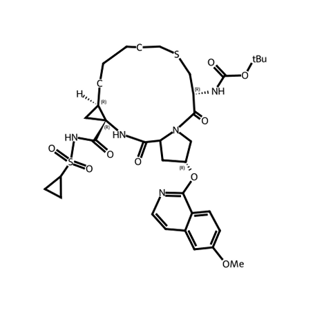 COc1ccc2c(O[C@@H]3CC4C(=O)N[C@]5(C(=O)NS(=O)(=O)C6CC6)C[C@H]5CCCCCSC[C@H](NC(=O)OC(C)(C)C)C(=O)N4C3)nccc2c1